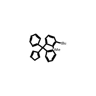 COc1c(C(C)(C)C)cccc1C(C1=CCC=C1)(c1ccccc1)c1ccccc1